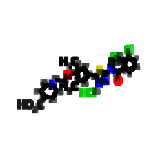 CCCCN(C(=O)c1cccc(Cl)c1Cl)c1nnc(-c2cc(C)c(OCCN3CCC(C(=O)O)CC3)c(C)c2)s1.Cl